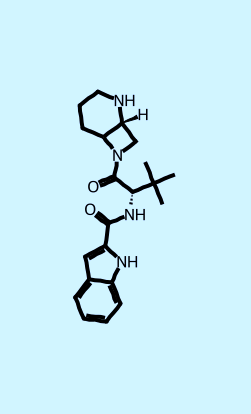 CC(C)(C)[C@H](NC(=O)c1cc2ccccc2[nH]1)C(=O)N1C[C@H]2NCCCC21